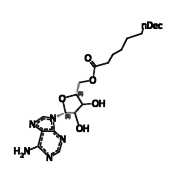 CCCCCCCCCCCCCCCC(=O)OC[C@H]1O[C@@H](n2cnc3c(N)ncnc32)C(O)C1O